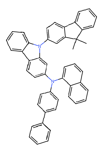 CC1(C)c2ccccc2-c2ccc(-n3c4ccccc4c4ccc(N(c5ccc(-c6ccccc6)cc5)c5cccc6ccccc56)cc43)cc21